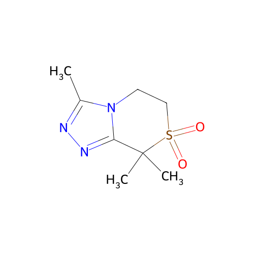 Cc1nnc2n1CCS(=O)(=O)C2(C)C